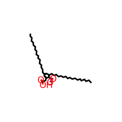 CCCCCCCCCCCCCCCCCCc1cc(CCCCCCCCCCCCCCCCCC)c(I(=O)=O)c(CC(=O)O)c1